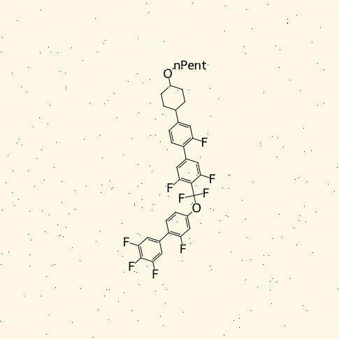 CCCCCOC1CCC(c2ccc(-c3cc(F)c(C(F)(F)Oc4ccc(-c5cc(F)c(F)c(F)c5)c(F)c4)c(F)c3)c(F)c2)CC1